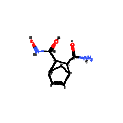 NC(=O)C1C2C=CC(C2)C1C(=O)N=O